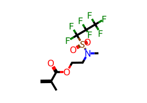 C=C(C)C(=O)OCCN(C)S(=O)(=O)C(F)(F)C(F)(F)C(F)(F)F